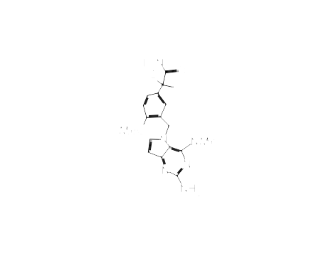 CNc1nc(N)nc2ccn(Cc3cc(C(F)(F)C(N)=O)ccc3OC)c12